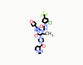 CCc1c(N2CCN(C(=O)c3cccn4ccnc34)CC2)c(=O)n2nc(C3=CCOCC3)nc2n1CC(=O)Nc1ccc(C(F)(F)F)cc1Cl